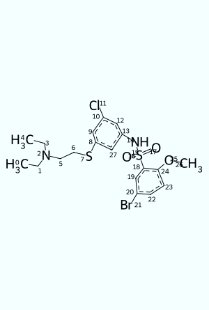 CCN(CC)CCSc1cc(Cl)cc(NS(=O)(=O)c2cc(Br)ccc2OC)c1